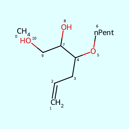 C.C=CCC(OCCCCC)C(O)CO